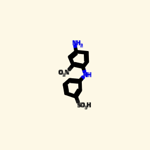 Nc1ccc(Nc2cccc(S(=O)(=O)O)c2)c([N+](=O)[O-])c1